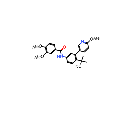 COc1ccc(-c2cc(NC(=O)c3ccc(OC)c(OC)c3)ccc2C(C)(C)C#N)cn1